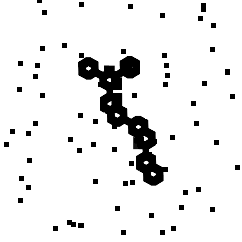 c1ccc(-c2cc(-c3ccc4ccc(-c5ccc6ccc(-c7ccc8ccccc8c7)nc6c5)cc4n3)nc(-c3ccccc3)n2)cc1